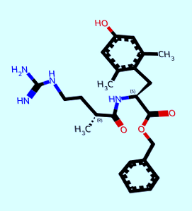 Cc1cc(O)cc(C)c1C[C@H](NC(=O)[C@H](C)CCNC(=N)N)C(=O)OCc1ccccc1